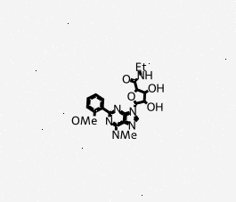 CCNC(=O)C1OC(n2cnc3c(NC)nc(-c4ccccc4OC)nc32)C(O)C1O